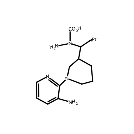 C[C](C)C(C1CCCN(c2ncccc2N)C1)N(N)C(=O)O